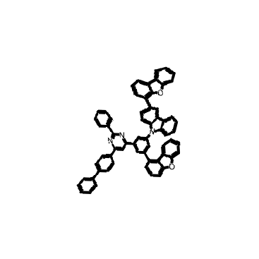 c1ccc(-c2ccc(-c3cc(-c4cc(-c5cccc6oc7ccccc7c56)cc(-n5c6ccccc6c6cc(-c7cccc8c7oc7ccccc78)ccc65)c4)nc(-c4ccccc4)n3)cc2)cc1